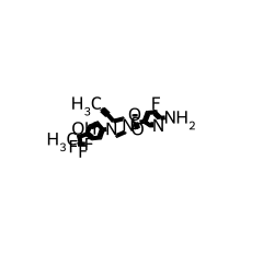 CC#CC1CN(S(=O)(=O)c2cnc(N)c(F)c2)CCN1c1ccc(C(C)(O)C(F)(F)F)cc1